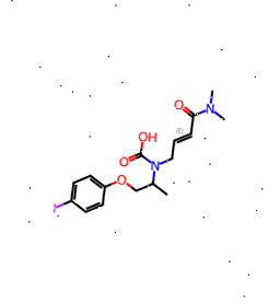 CC(COc1ccc(I)cc1)N(C/C=C/C(=O)N(C)C)C(=O)O